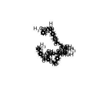 COc1cccc(F)c1-c1ncc2[nH]nc(-c3ccc(N4CCN(C(=O)CCCC(=O)N[C@H](C(=O)N5C[C@H](O)C[C@H]5C(=O)NCc5ccc(-c6scnc6CO[C@@H]6C[C@@H](C(=O)NCc7ccc(-c8scnc8C)cc7)N(C(=O)[C@@H](NC(=O)CCCC(=O)O)C(C)(C)C)C6)cc5)C(C)(C)C)CC4)cc3)c2n1